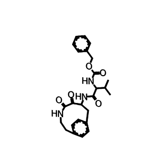 CC(C)C(NC(=O)OCc1ccccc1)C(=O)NC1Cc2ccc(cc2)CCNC(=O)C1=O